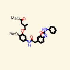 COC(=O)CC(C)COc1cc(NC(=O)Cc2ccc3nc(Nc4ccccc4)oc3c2)ccc1OC